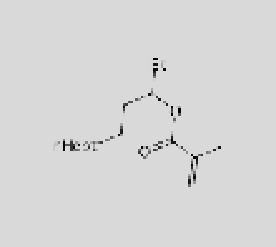 C=C(C)C(=O)OC(CC)CCCCCCCCC